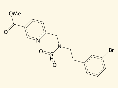 COC(=O)c1ccc(CN(CCc2cccc(Br)c2)[SH](=O)=O)nc1